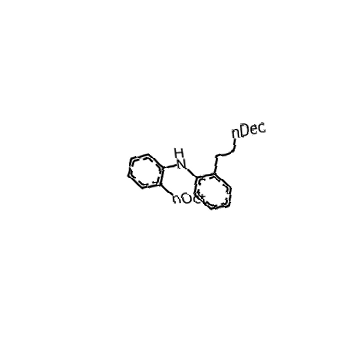 CCCCCCCCCCCCc1ccccc1Nc1ccccc1CCCCCCCC